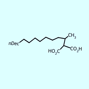 CCCCCCCCCCCCCCCCCC(C)C(C(=O)O)C(=O)O